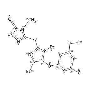 CCc1c(Cc2n[nH]c(=O)n2C)nn(CC)c1Oc1cc(Cl)cc(CI)c1